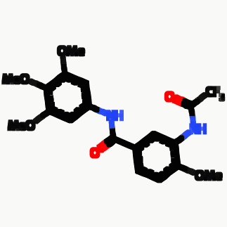 COc1ccc(C(=O)Nc2cc(OC)c(OC)c(OC)c2)cc1NC(=O)C(F)(F)F